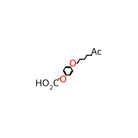 CC(=O)CCCCCOc1ccc(OCC(=O)O)cc1